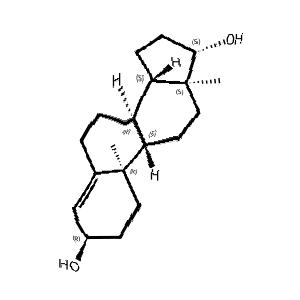 C[C@]12CC[C@H]3[C@@H](CCC4=C[C@H](O)CC[C@@]43C)[C@@H]1CC[C@@H]2O